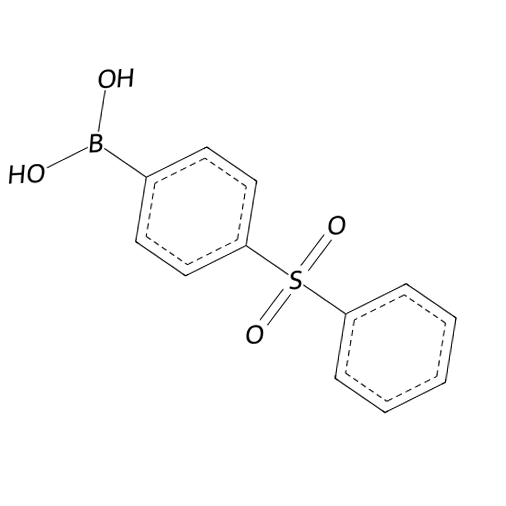 O=S(=O)(c1ccccc1)c1ccc(B(O)O)cc1